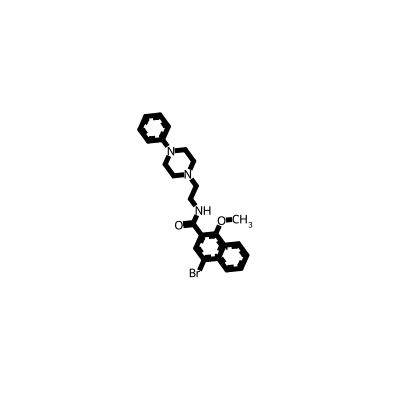 COc1c(C(=O)NCCN2CCN(c3ccccc3)CC2)cc(Br)c2ccccc12